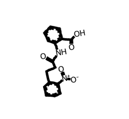 O=C(CCc1ccccc1[N+](=O)[O-])Nc1ccccc1C(=O)O